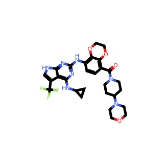 O=C(c1ccc(Nc2nc(NC3CC3)c3c(C(F)(F)F)c[nH]c3n2)c2c1OCCO2)N1CCC(N2CCOCC2)CC1